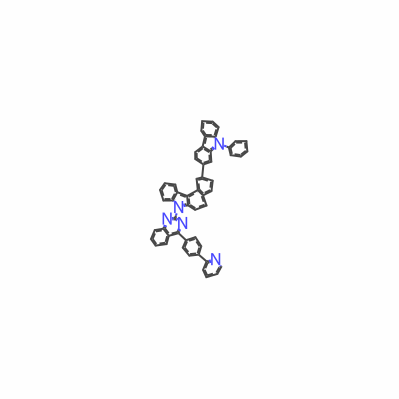 c1ccc(-n2c3ccccc3c3ccc(-c4ccc5ccc6c(c5c4)c4ccccc4n6-c4nc(-c5ccc(-c6ccccn6)cc5)c5ccccc5n4)cc32)cc1